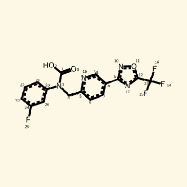 O=C(O)N(Cc1ccc(-c2noc(C(F)(F)F)n2)cn1)c1cccc(F)c1